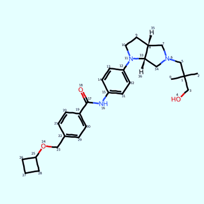 CC(C)(CO)CN1C[C@H]2CCN(c3ccc(NC(=O)c4ccc(COC5CCC5)cc4)cc3)[C@H]2C1